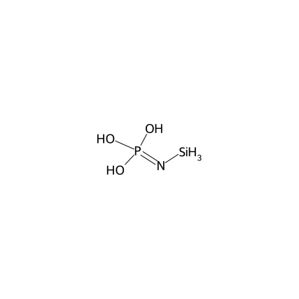 OP(O)(O)=N[SiH3]